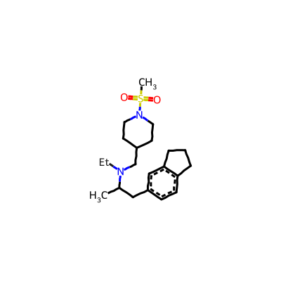 CCN(CC1CCN(S(C)(=O)=O)CC1)C(C)Cc1ccc2c(c1)CCC2